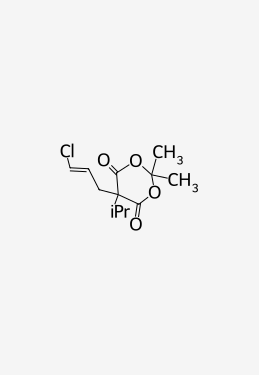 CC(C)C1(C/C=C/Cl)C(=O)OC(C)(C)OC1=O